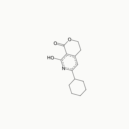 O=C1OCCc2cc(C3CCCCC3)nc(O)c21